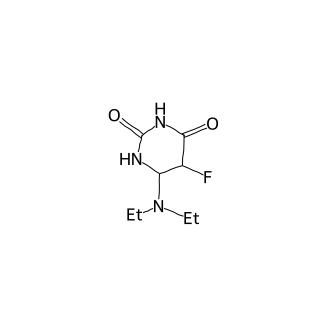 CCN(CC)C1NC(=O)NC(=O)C1F